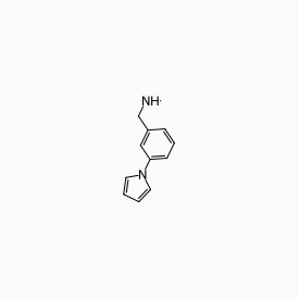 [NH]Cc1cccc(-n2cccc2)c1